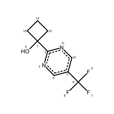 OC1(c2ncc(C(F)(F)F)cn2)CCC1